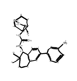 CCCc1cccc(-c2ccc3c(c2)CCC(C)(C)[C@H]3NC(=O)O[C@@H]2CN3CCC2CC3)c1